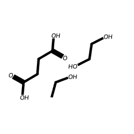 CCO.O=C(O)CCC(=O)O.OCCO